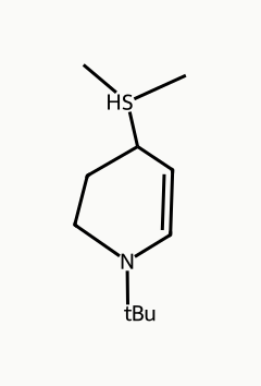 C[SH](C)C1C=CN(C(C)(C)C)CC1